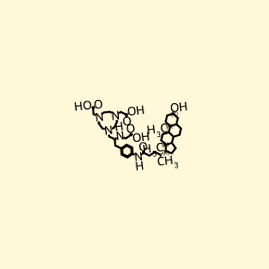 CC(CCC(=O)Nc1ccc(CC(CN2CCN(CC(=O)O)CCN(CC(=O)O)CC2)NCC(=O)O)cc1)[C@H]1CCC2C3CCC4C[C@H](O)CC[C@]4(C)C3CC[C@@]21C